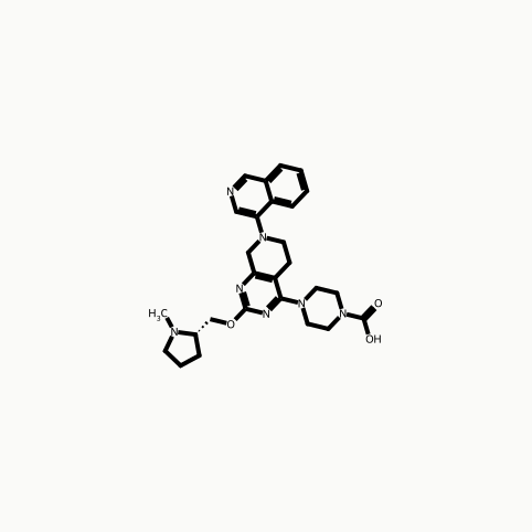 CN1CCC[C@H]1COc1nc2c(c(N3CCN(C(=O)O)CC3)n1)CCN(c1cncc3ccccc13)C2